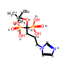 CC(C)(C)[Si](C)(C)OC(CCCn1ccnc1)(P(=O)(O)O)P(=O)(O)O